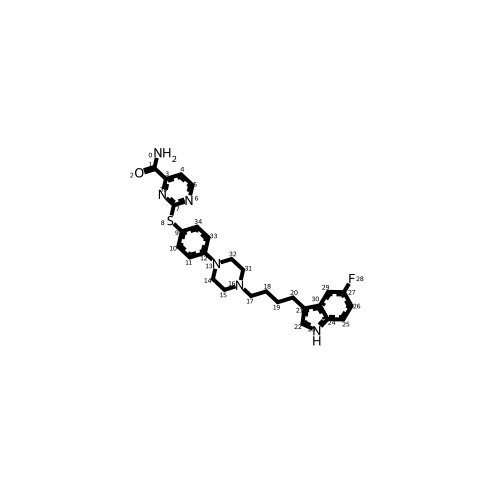 NC(=O)c1ccnc(Sc2ccc(N3CCN(CCCCc4c[nH]c5ccc(F)cc45)CC3)cc2)n1